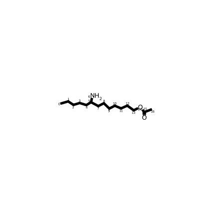 CCCCCC(N)CCCCCCCOC(C)=O